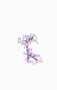 CC[C@H](C)[C@H](N)C(=O)N[C@H](C(=O)NCC(=O)NCC(=O)N[C@@H](CCC(N)=O)C(=O)N[C@@H](CCC(=O)O)C(N)=O)C(C)C